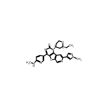 CC[C@H]1C[C@@H](n2c(=O)nc(-c3ccc(NC)nc3)c3oc4cnc(-c5cnn(C)c5)cc4c32)CCO1